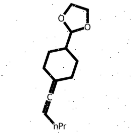 CCCC=C=C1CCC(C2OCCO2)CC1